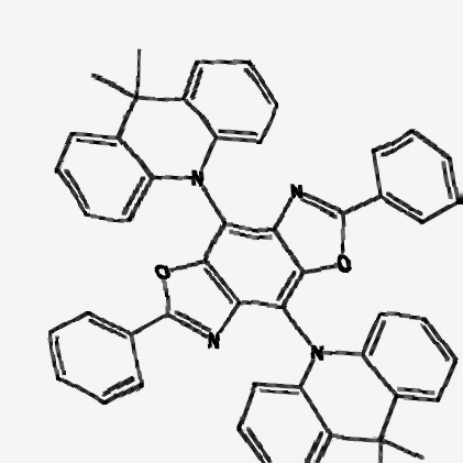 CC1(C)c2ccccc2N(c2c3nc(-c4ccccc4)oc3c(N3c4ccccc4C(C)(C)c4ccccc43)c3nc(-c4ccccc4)oc23)c2ccccc21